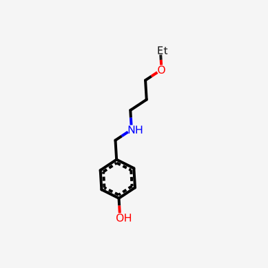 CCOCCCNCc1ccc(O)cc1